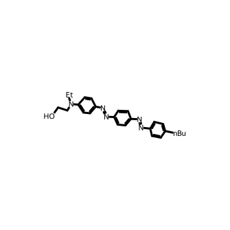 CCCCc1ccc(N=Nc2ccc(N=Nc3ccc(N(CC)CCO)cc3)cc2)cc1